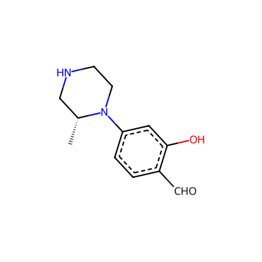 C[C@@H]1CNCCN1c1ccc(C=O)c(O)c1